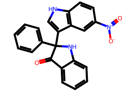 O=C1c2ccccc2NC1(c1ccccc1)c1c[nH]c2ccc([N+](=O)[O-])cc12